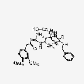 COc1ccc(CC(=O)N=C(N)N[C@H](C)CC(C)(C)NS(=O)(=O)NCc2ccccc2)cc1OC.O=C(O)O